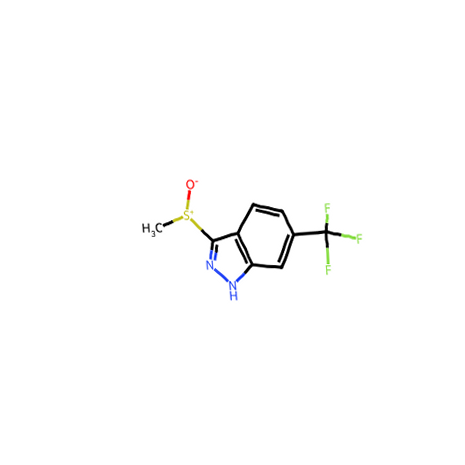 C[S+]([O-])c1n[nH]c2cc(C(F)(F)F)ccc12